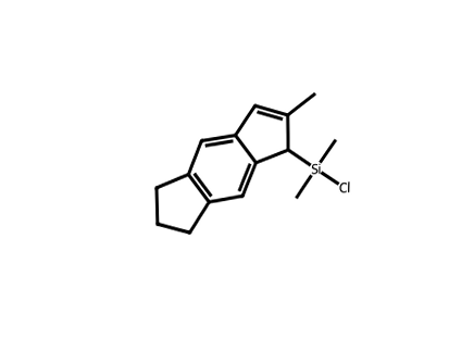 CC1=Cc2cc3c(cc2C1[Si](C)(C)Cl)CCC3